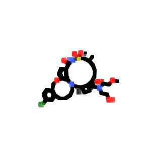 COCCN(CCO)C[C@]1(O)CCC[C@H](C)[C@@H](C)S(=O)(=O)NC(=O)c2ccc3c(c2)N(CCCCc2cc(Cl)ccc2CO3)C[C@@H]2CC[C@H]21